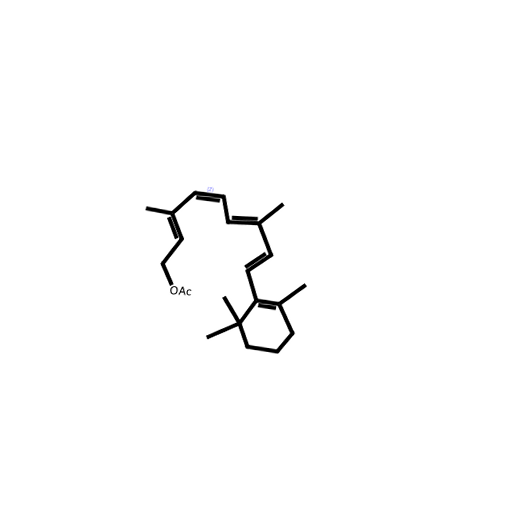 CC(=O)OCC=C(C)/C=C\C=C(C)C=CC1=C(C)CCCC1(C)C